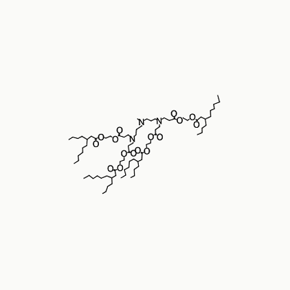 CCCCCCC(CCCC)CC(=O)OCCOC(=O)CCN(CCCN(C)CCCN(CCC(=O)OCCOC(=O)CC(CCCC)CCCCCC)CCC(=O)OCCOC(=O)CC(CCCC)CCCCCC)CCC(=O)OCCOC(=O)CC(CCCC)CCCCCC